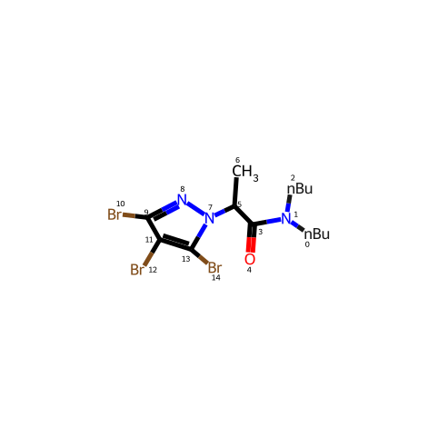 CCCCN(CCCC)C(=O)C(C)n1nc(Br)c(Br)c1Br